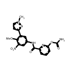 COc1c(-c2ccn(C)n2)cc(NC(=O)c2cccc(OC(N)=O)n2)cc1[N+](=O)[O-]